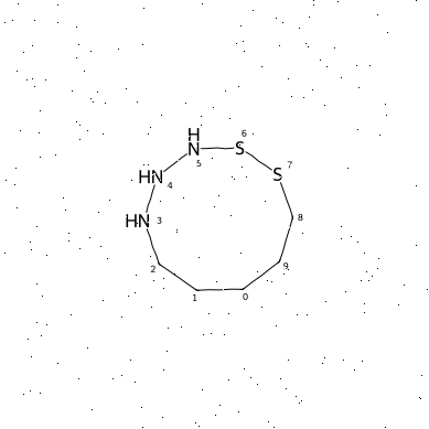 C1CCNNNSSCC1